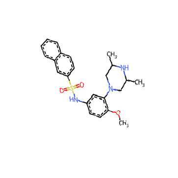 COc1ccc(NS(=O)(=O)c2ccc3ccccc3c2)cc1N1CC(C)NC(C)C1